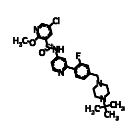 COc1ncc(Cl)cc1[S+]([O-])Nc1ccnc(-c2ccc(CN3CCN(C(C)(C)C)CC3)cc2F)c1